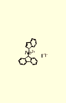 C1=C[CH]([Nb+2][CH]2c3ccccc3-c3ccccc32)c2ccccc21.[I-].[I-]